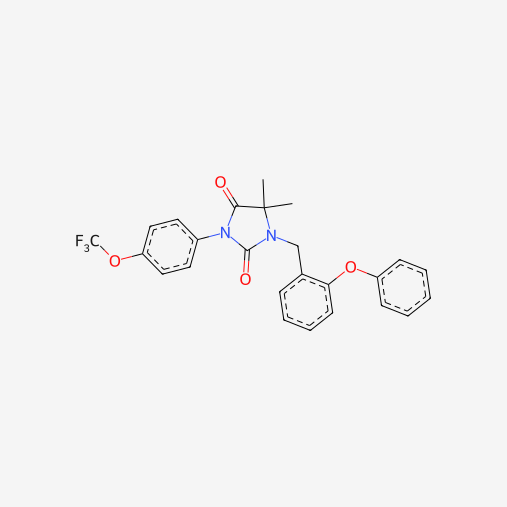 CC1(C)C(=O)N(c2ccc(OC(F)(F)F)cc2)C(=O)N1Cc1ccccc1Oc1ccccc1